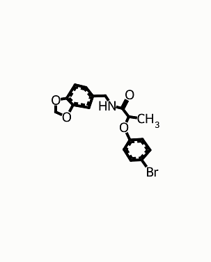 CC(Oc1ccc(Br)cc1)C(=O)NCc1ccc2c(c1)OCO2